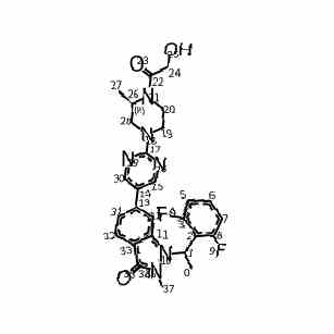 CC(c1c(F)cccc1F)n1c2cc(-c3cnc(N4CCN(C(=O)CO)[C@H](C)C4)nc3)ccc2c(=O)n1C